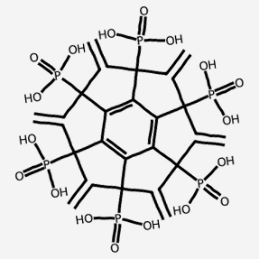 CCC(CC)(c1c(C(CC)(CC)P(=O)(O)O)c(C(CC)(CC)P(=O)(O)O)c(C(CC)(CC)P(=O)(O)O)c(C(CC)(CC)P(=O)(O)O)c1C(CC)(CC)P(=O)(O)O)P(=O)(O)O